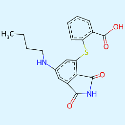 CCCCNc1cc(Sc2ccccc2C(=O)O)c2c(c1)C(=O)NC2=O